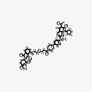 CC(=O)c1c(C)c2cnc(Nc3ccc(N4CCN(C(=O)CCOCCSc5cccc6c5C(=O)N(C5CCC(=O)NC5=O)C6=O)CC4)cn3)nc2n(C2CCCC2)c1=O